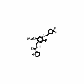 COc1cc(OCC2CCC(F)(F)C2)c(F)cc1CNC(=O)[C@@H]1CCCN1C